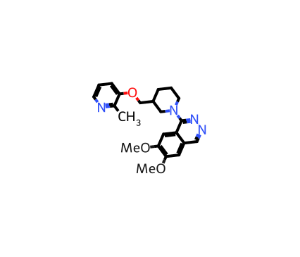 COc1cc2cnnc(N3CCCC(COc4cccnc4C)C3)c2cc1OC